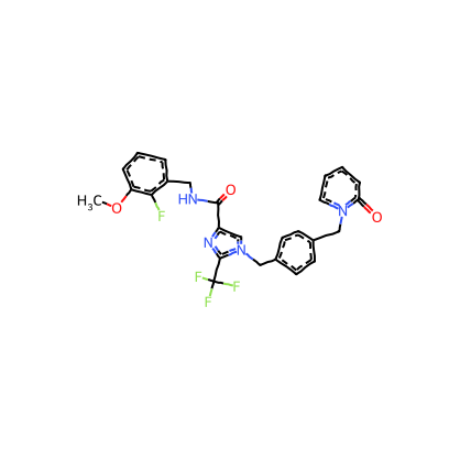 COc1cccc(CNC(=O)c2cn(Cc3ccc(Cn4ccccc4=O)cc3)c(C(F)(F)F)n2)c1F